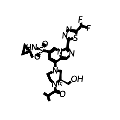 CC(C)C(=O)N1CCN(c2cc(S(=O)(=O)NC3(C)CC3)cn3c(-c4nnc(C(F)F)s4)ncc23)C[C@H]1CO